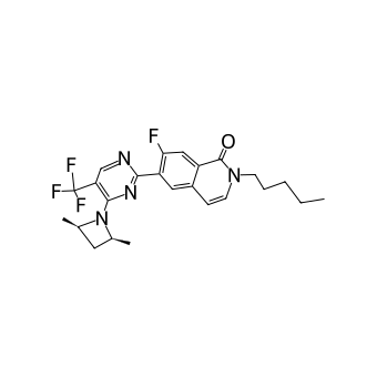 CCCCCn1ccc2cc(-c3ncc(C(F)(F)F)c(N4[C@H](C)C[C@@H]4C)n3)c(F)cc2c1=O